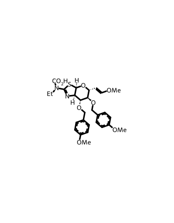 CCN(C(=O)O)C1=N[C@@H]2[C@@H](OCc3ccc(OC)cc3)[C@H](OCc3ccc(OC)cc3)[C@@H](/C=C/OC)O[C@@H]2S1